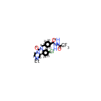 CCN1CCN(C(=O)N(Cc2ccc(C(=O)NNC(=O)C(F)(F)F)cc2)c2cccc(Cl)c2)CC1